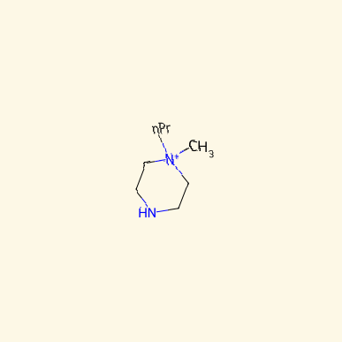 [CH2]CC[N+]1(C)CCNCC1